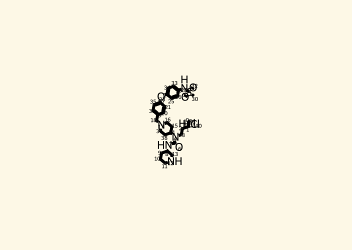 CCCCN(C(=O)N[C@H]1CCCNC1)C1CCN(Cc2ccc(Oc3ccc(NS(C)(=O)=O)cc3)cc2)CC1.Cl.Cl